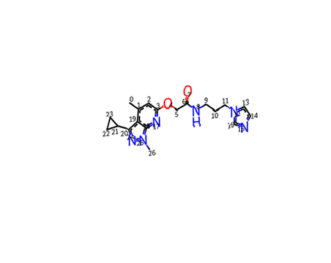 Cc1cc(OCC(=O)NCCCn2ccnc2)nc2c1c(C1CC1)nn2C